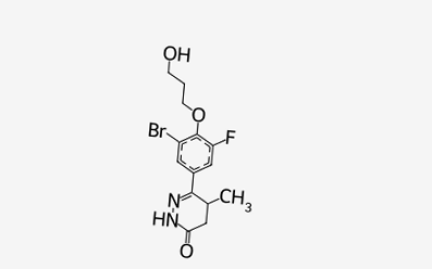 CC1CC(=O)NN=C1c1cc(F)c(OCCCO)c(Br)c1